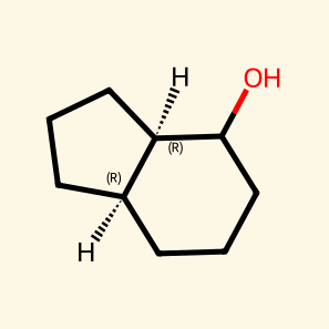 OC1CCC[C@H]2CCC[C@@H]12